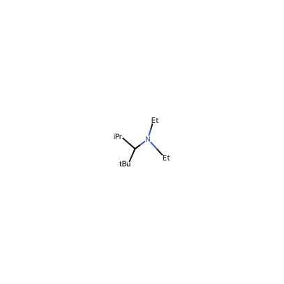 CCN(CC)C(C(C)C)C(C)(C)C